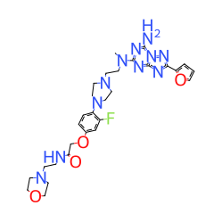 CN(CCN1CCN(c2ccc(OCC(=O)NCCN3CCOCC3)cc2F)CC1)c1nc(N)n2nc(-c3ccco3)nc2n1